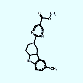 COC(=O)c1cnc(N2CCC3Nc4ccc(C)cc4C3C2)nc1